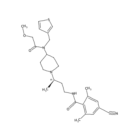 COCC(=O)N(Cc1ccsc1)C1CCN([C@H](C)CCNC(=O)c2c(C)cc(C#N)cc2C)CC1